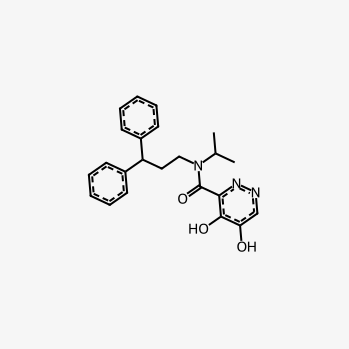 CC(C)N(CCC(c1ccccc1)c1ccccc1)C(=O)c1nncc(O)c1O